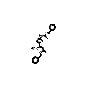 O=C(C=C(C(=O)O)c1csc(NC(=O)OCc2ccccc2)n1)OCc1ccccc1